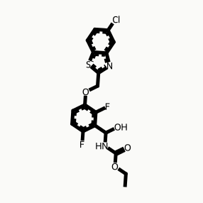 CCOC(=O)NC(O)c1c(F)ccc(OCc2nc3cc(Cl)ccc3s2)c1F